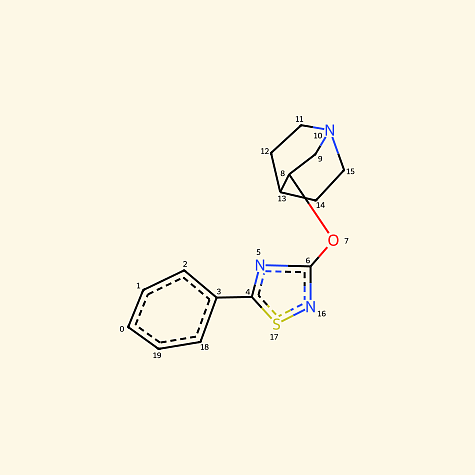 c1ccc(-c2nc(OC3CN4CCC3CC4)ns2)cc1